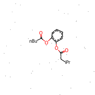 CCCCC(=O)Oc1ccccc1OC(=O)CC(C)C